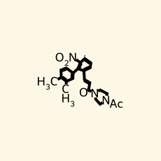 CC(=O)N1CCN(C(=O)/C=C/c2cc[c]c([N+](=O)[O-])c2-c2ccc(C)c(C)c2)CC1